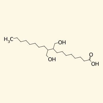 CCCCCCCCC(CO)C(CO)CCCCCCCC(=O)O